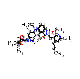 C=CCCc1cc(C)nc(OC)c1CNC(=O)c1cccc(N(CC)[C@H]2CC[C@H](NC(=O)OC(C)(C)C)CC2)c1CC=C